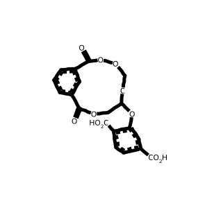 O=C(O)c1ccc(C(=O)O)c(OC2CCOOC(=O)c3cccc(c3)C(=O)OC2)c1